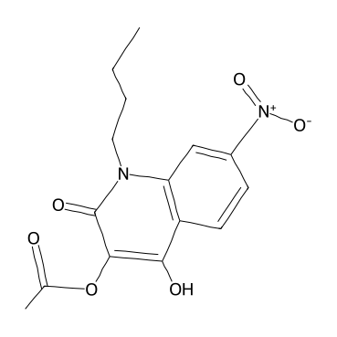 CCCCn1c(=O)c(OC(C)=O)c(O)c2ccc([N+](=O)[O-])cc21